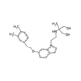 Cc1ccc(CCOc2ccc3ccn(CCNC(C)(CO)CO)c3c2)cc1C